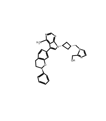 Nc1ncnc2c1c(-c1ccc3c(c1)O[C@@H](c1ccccc1)CC3)cn2[C@H]1C[C@@H](Cn2ccnc2CO)C1